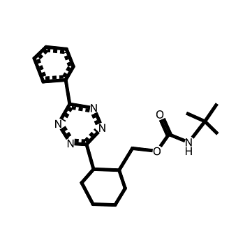 CC(C)(C)NC(=O)OCC1CCCCC1c1nnc(-c2ccccc2)nn1